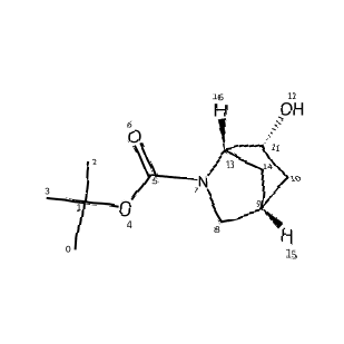 CC(C)(C)OC(=O)N1C[C@H]2C[C@@H](O)[C@@H]1C2